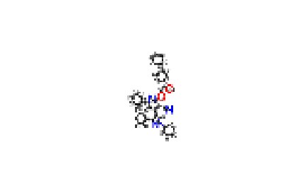 N#Cc1c(-c2cn(-c3ccccc3)nc2-c2ccccc2)cc(-c2ccccc2)nc1OCC(=O)c1ccc(-c2ccccc2)cc1